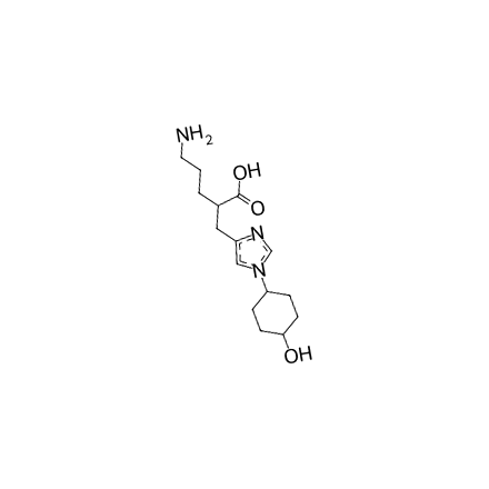 NCCCC(Cc1cn(C2CCC(O)CC2)cn1)C(=O)O